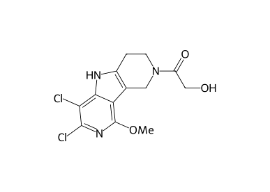 COc1nc(Cl)c(Cl)c2[nH]c3c(c12)CN(C(=O)CO)CC3